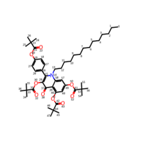 CCCCCCCCCCCCCCn1c(-c2ccc(OC(=O)C(C)(C)C)cc2)c(OC(=O)C(C)(C)C)c(=O)c2c(OC(=O)C(C)(C)C)cc(OC(=O)C(C)(C)C)cc21